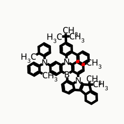 Cc1cc2c3c(c1)-n1c4c(c5cccc(c51)B3c1ccc(N(C3=CC=CCC3C)c3ccccc3C)cc1N2c1ccc(C(C)(C)C)cc1-c1ccccc1)C1CCCC=C1C4(C)C